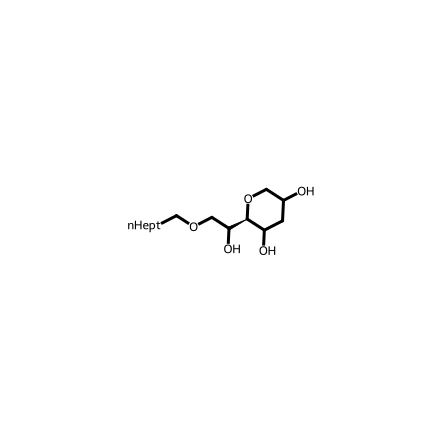 CCCCCCCCOCC(O)[C@H]1OCC(O)CC1O